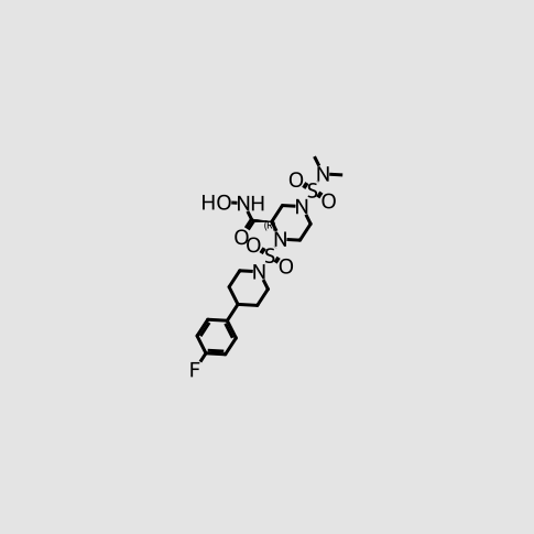 CN(C)S(=O)(=O)N1CCN(S(=O)(=O)N2CCC(c3ccc(F)cc3)CC2)[C@@H](C(=O)NO)C1